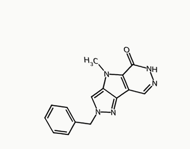 Cn1c2cn(Cc3ccccc3)nc2c2cn[nH]c(=O)c21